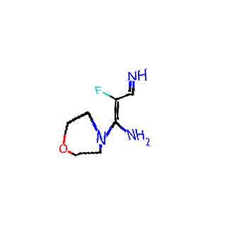 N=C/C(F)=C(\N)N1CCOCC1